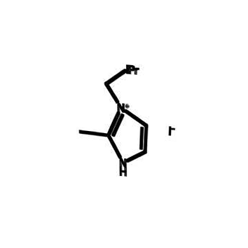 Cc1[nH]cc[n+]1CC(C)C.[I-]